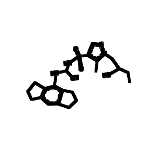 CCC(O)Cn1ncc(S(=O)(=O)NC(O)Nc2c3c(cc4c2CCC4)CCC3)c1C